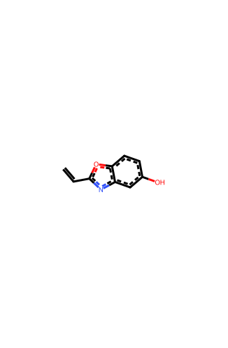 C=Cc1nc2cc(O)ccc2o1